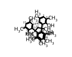 Cc1cc(C)c(O)c(C(C)(CC(C)(c2cc(C)cc(C)c2O)c2cc(C)cc(C)c2O)c2cc(C)cc(C)c2O)c1